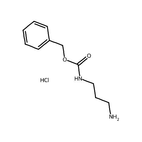 Cl.NCCCNC(=O)OCc1ccccc1